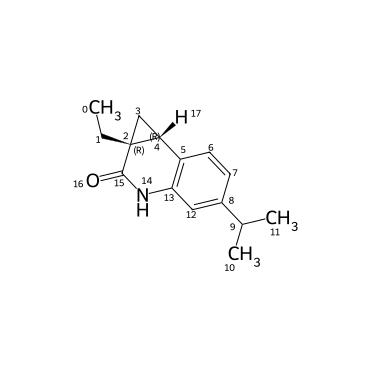 CC[C@@]12C[C@@H]1c1ccc(C(C)C)cc1NC2=O